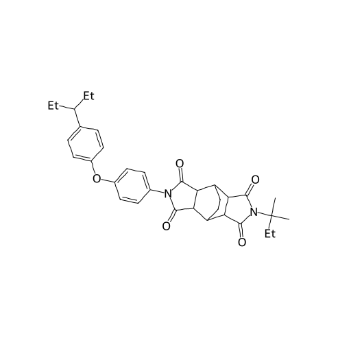 CCC(CC)c1ccc(Oc2ccc(N3C(=O)C4C5CCC(C4C3=O)C3C(=O)N(C(C)(C)CC)C(=O)C53)cc2)cc1